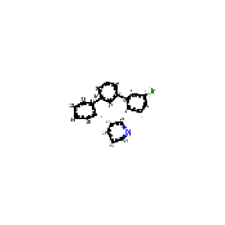 Brc1cccc(-c2cccc(-c3ccccc3)c2)c1.c1ccncc1